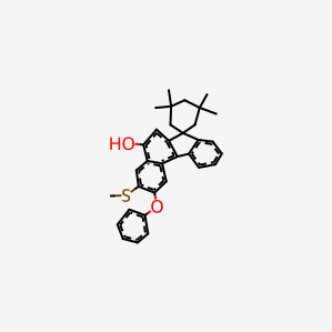 CSc1cc2c(O)cc3c(c2cc1Oc1ccccc1)-c1ccccc1C31CC(C)(C)CC(C)(C)C1